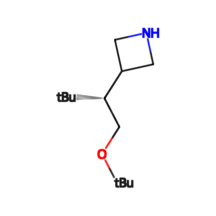 CC(C)(C)OC[C@@H](C1CNC1)C(C)(C)C